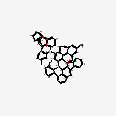 Cc1ccc(-c2ccccc2)c(N(c2cc(N(c3c(C)cccc3-c3ccccc3)c3cccc4c3oc3ccccc34)c3ccc4cc(C(C)(C)C)cc5ccc2c3c54)c2cccc3c2oc2ccccc23)c1